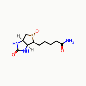 NC(=O)CCCC[C@H]1[C@H]2NC(=O)N[C@H]2C[S+]1[O-]